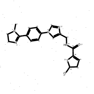 CN1CCN=C1c1ccc(-n2cnc(CNC(=O)C3=CCC(Cl)S3)c2)cc1